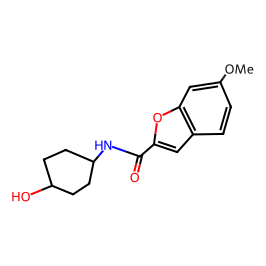 COc1ccc2cc(C(=O)NC3CCC(O)CC3)oc2c1